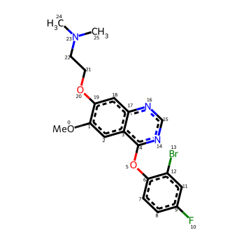 COc1cc2c(Oc3ccc(F)cc3Br)ncnc2cc1OCCN(C)C